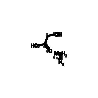 O=C(O)CO.[AlH3].[MgH2]